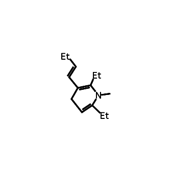 CCC=CC1=C(CC)N(C)C(CC)=CC1